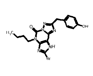 CCCCn1c(=O)n2nc(Cc3ccc(O)cc3)nc2c2[nH]c(Br)nc21